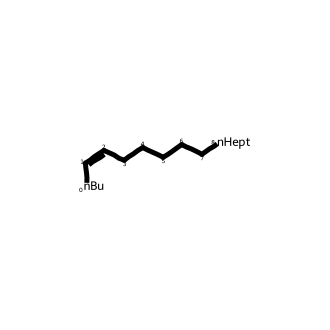 CCCC/C=C\CCCCCCCCCCCC